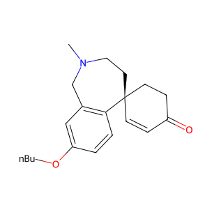 CCCCOc1ccc2c(c1)CN(C)CC[C@@]21C=CC(=O)CC1